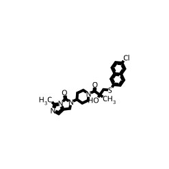 Cc1ncc2n1C(=O)N(C1CCN(C(=O)C(C)(O)CSc3ccc4cc(Cl)ccc4c3)CC1)C2